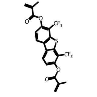 C=C(C)C(=O)Oc1ccc2c(sc3c(C(F)(F)F)c(OC(=O)C(=C)C)ccc32)c1C(F)(F)F